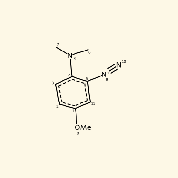 COc1ccc(N(C)C)c([N+]#N)c1